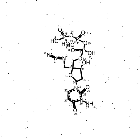 [N-]=[N+]=NC[C@]1(COP(=O)(O)OP(=O)(O)OP(=O)(O)O)O[C@@H](n2ccc(=O)n(N)c2=O)C[C@@H]1O